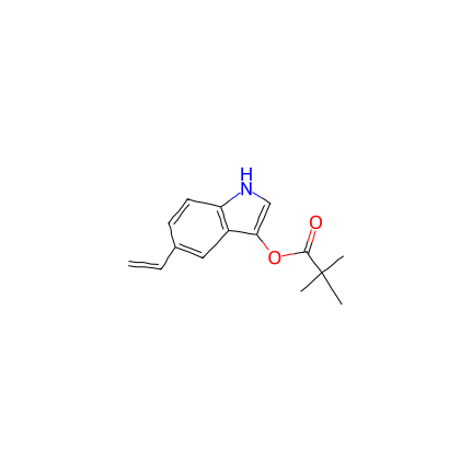 C=Cc1ccc2[nH]cc(OC(=O)C(C)(C)C)c2c1